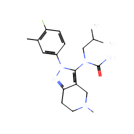 COC(CN(C(N)=O)c1c2c(nn1-c1ccc(F)c(C)c1)CCN(C(=O)O)[C@H]2C)OC